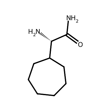 NC(=O)[C@@H](N)C1CCCCCC1